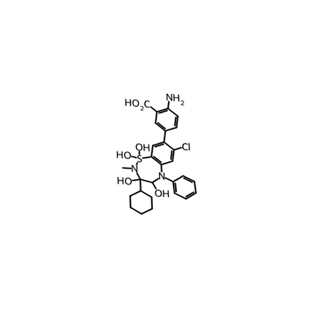 CN1C(O)(C2CCCCC2)C(O)N(c2ccccc2)c2cc(Cl)c(-c3ccc(N)c(C(=O)O)c3)cc2S1(O)O